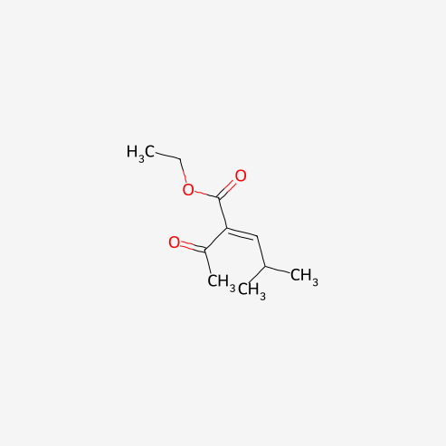 CCOC(=O)C(=CC(C)C)C(C)=O